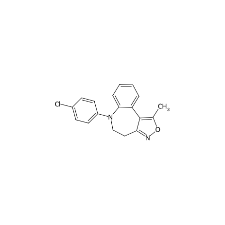 Cc1onc2c1-c1ccccc1N(c1ccc(Cl)cc1)CC2